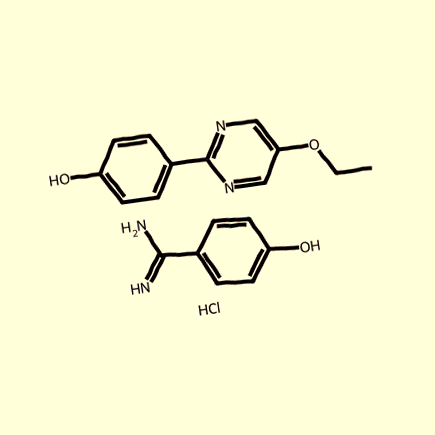 CCOc1cnc(-c2ccc(O)cc2)nc1.Cl.N=C(N)c1ccc(O)cc1